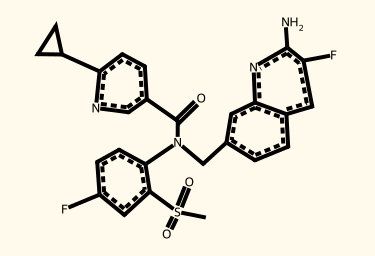 CS(=O)(=O)c1cc(F)ccc1N(Cc1ccc2cc(F)c(N)nc2c1)C(=O)c1ccc(C2CC2)nc1